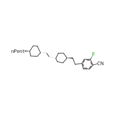 CCCCC[C@H]1CC[C@H](CC[C@H]2CC[C@H](CCc3ccc(C#N)c(F)c3)CC2)CC1